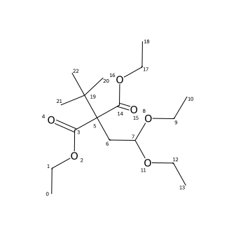 CCOC(=O)C(CC(OCC)OCC)(C(=O)OCC)C(C)(C)C